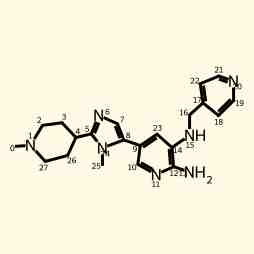 CN1CCC(c2ncc(-c3cnc(N)c(NCc4ccncc4)c3)n2C)CC1